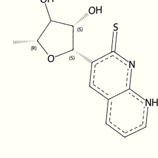 C[C@H]1O[C@@H](c2cc3ccc[nH]c-3nc2=S)[C@@H](O)C1O